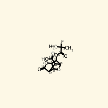 CC(C)(I)C(=O)OC1C2OC(=O)C3C2OC1C3C(=O)O